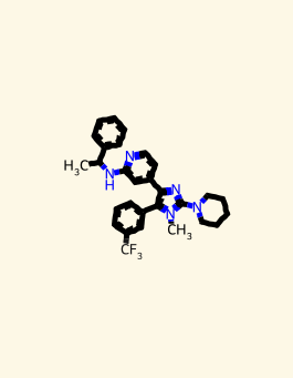 CC(Nc1cc(-c2nc(N3CCCCC3)n(C)c2-c2cccc(C(F)(F)F)c2)ccn1)c1ccccc1